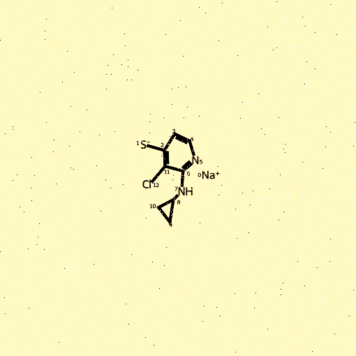 [Na+].[S-]c1ccnc(NC2CC2)c1Cl